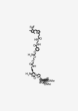 COP(=O)(OC)OP(=O)(OC)OP(=O)(OC)OC[C@@H]1CC[C@H](n2cc(C#CCNC(=O)COCCOC(N)COc3cccc(C(=O)NCCNC(=O)CCC4=N/C(=C\C5=C(C)C=C(C)C5B(F)F)C=C4)c3)c(N)nc2=O)O1